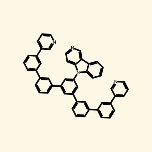 c1cncc(-c2cccc(-c3cccc(-c4cc(-c5cccc(-c6cccc(-c7cccnc7)c6)c5)cc(-n5c6ccccc6c6cnccc65)c4)c3)c2)c1